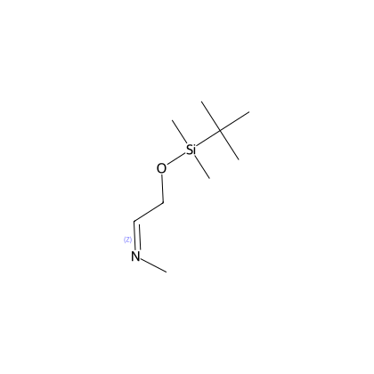 C/N=C\CO[Si](C)(C)C(C)(C)C